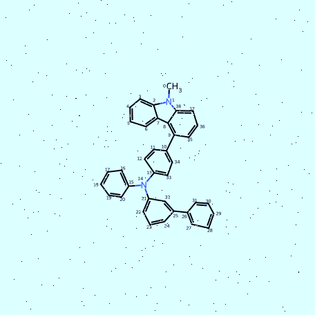 Cn1c2ccccc2c2c(-c3ccc(N(c4ccccc4)c4cccc(-c5ccccc5)c4)cc3)cccc21